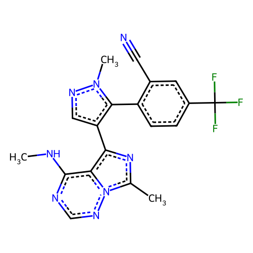 CNc1ncnn2c(C)nc(-c3cnn(C)c3-c3ccc(C(F)(F)F)cc3C#N)c12